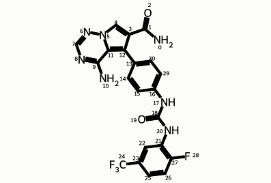 NC(=O)c1cn2ncnc(N)c2c1-c1ccc(NC(=O)Nc2cc(C(F)(F)F)ccc2F)cc1